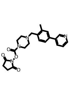 Cc1cc(-c2cccnc2)ccc1CN1CCN(C(=O)ON2C(=O)CCC2=O)CC1